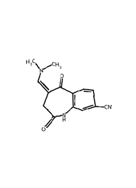 CN(C)C=C1CC(=O)Nc2cc(C#N)ccc2C1=O